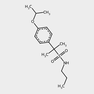 CCCNS(=O)(=O)C(C)(C)c1ccc(OC(C)C)cc1